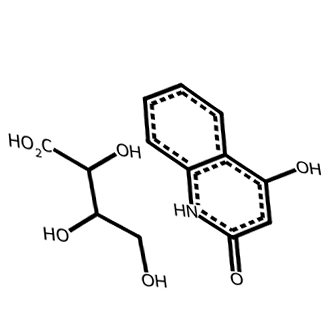 O=C(O)C(O)C(O)CO.O=c1cc(O)c2ccccc2[nH]1